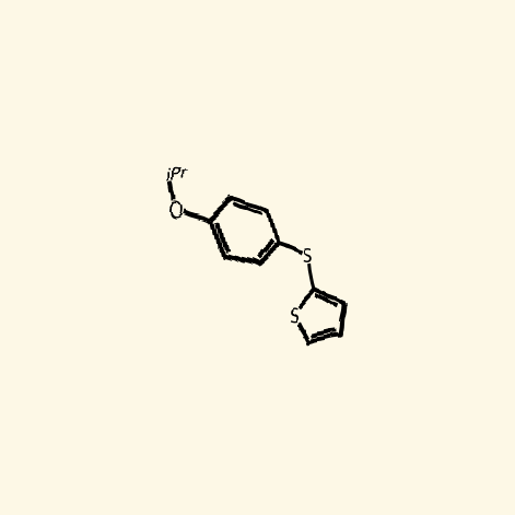 CC(C)Oc1ccc(Sc2cccs2)cc1